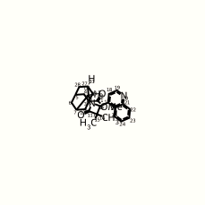 COC(=O)[C@]12CC3CC(C1)[C@@H](N1C(=O)C(C)(C)C1c1ccnc4ccccc14)[C@@H](C3)C2